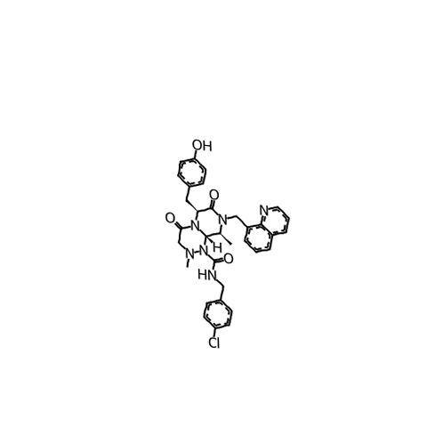 C[C@H]1[C@H]2N(C(=O)CN(C)N2C(=O)NCc2ccc(Cl)cc2)[C@@H](Cc2ccc(O)cc2)C(=O)N1Cc1cccc2cccnc12